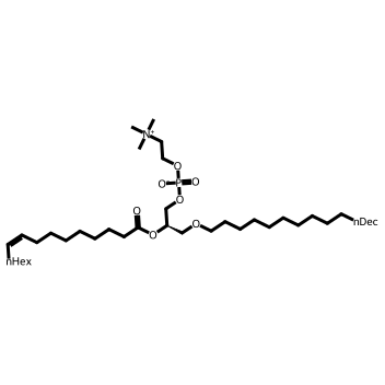 CCCCCC/C=C\CCCCCCCC(=O)O[C@H](COCCCCCCCCCCCCCCCCCCCC)COP(=O)([O-])OCC[N+](C)(C)C